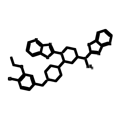 CCOc1cc(CN2CCC(C3CC(N(N)c4nc5ncccc5o4)CCN3c3nc4ncccc4o3)CC2)ccc1Cl